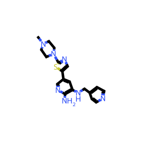 CN1CCN(c2ncc(-c3cnc(N)c(NCc4ccncc4)c3)s2)CC1